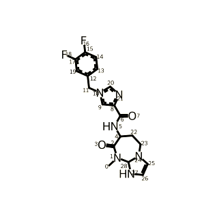 CN1C(=O)C(NC(=O)c2cn(Cc3ccc(F)c(F)c3)cn2)CCN2C=CNC21